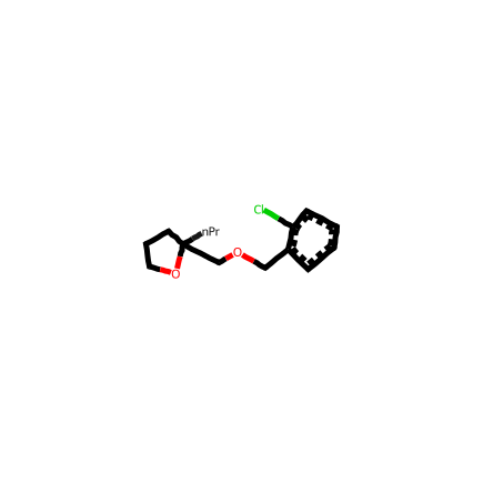 CCCC1(COCc2ccccc2Cl)CCCO1